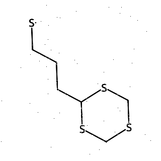 [S]CCCC1SCSCS1